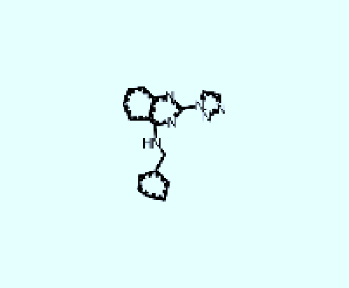 c1ccc(CNc2nc(-n3ccnn3)nc3ccccc23)cc1